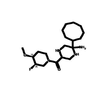 CO[C@H]1CCN(C(=O)C2CNC(N)(C3CCCCCCC3)CN2)C[C@H]1F